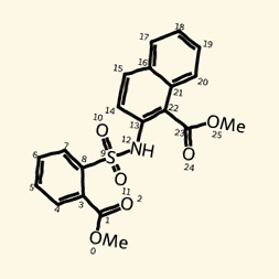 COC(=O)c1ccccc1S(=O)(=O)Nc1ccc2ccccc2c1C(=O)OC